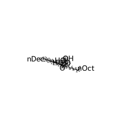 CCCCCCCC/C=C\CCCCCCC(C(=O)CCCCCCCCCCCCCCCCCCCCC)C(=O)C(O)(CO)CO